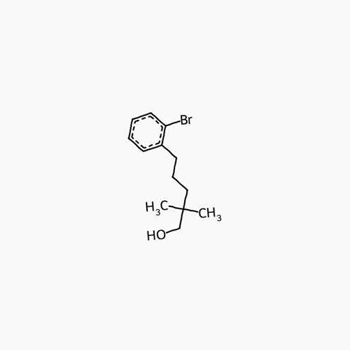 CC(C)(CO)CCCc1ccccc1Br